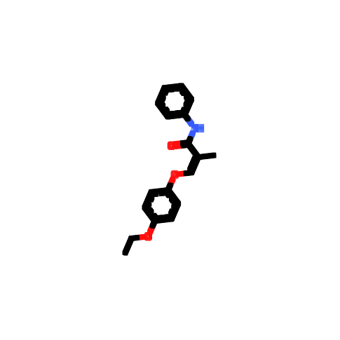 CCOc1ccc(OC=C(C)C(=O)Nc2ccccc2)cc1